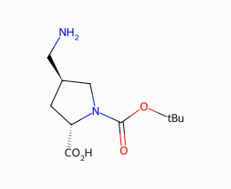 CC(C)(C)OC(=O)N1C[C@H](CN)C[C@H]1C(=O)O